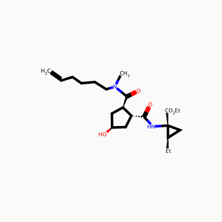 C=CCCCCN(C)C(=O)[C@@H]1C[C@H](O)C[C@H]1C(=O)N[C@]1(C(=O)OCC)C[C@H]1CC